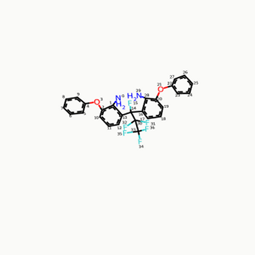 Nc1c(Oc2ccccc2)cccc1C(F)(c1cccc(Oc2ccccc2)c1N)C(F)(F)C(F)(F)F